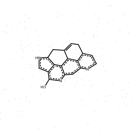 Oc1nc2cc3nccc4c3c3c2c2c([nH]cc12)CC3=CC4